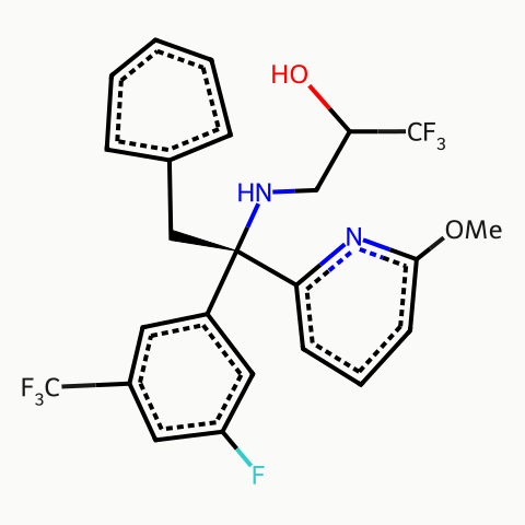 COc1cccc([C@@](Cc2ccccc2)(NCC(O)C(F)(F)F)c2cc(F)cc(C(F)(F)F)c2)n1